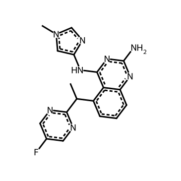 CC(c1ncc(F)cn1)c1cccc2nc(N)nc(Nc3cn(C)cn3)c12